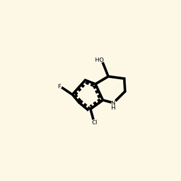 OC1CCNc2c(Cl)cc(F)cc21